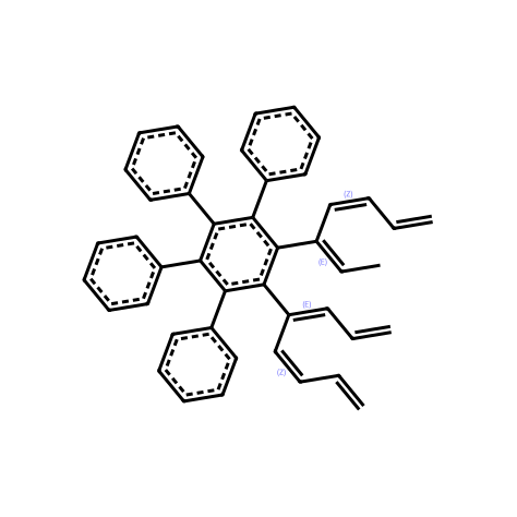 C=C/C=C\C(=C/C)c1c(C(/C=C\C=C)=C/C=C)c(-c2ccccc2)c(-c2ccccc2)c(-c2ccccc2)c1-c1ccccc1